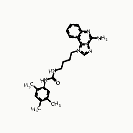 Cc1cc(C)c(NC(=O)NCCCCn2cnc3c(N)nc4ccccc4c32)cc1C